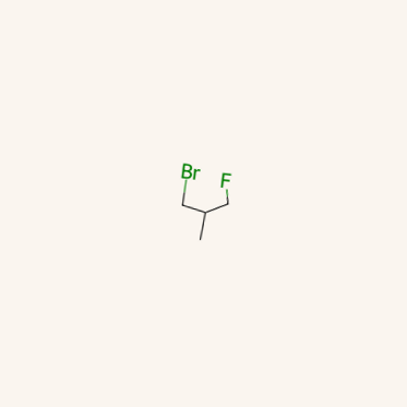 CC(CF)CBr